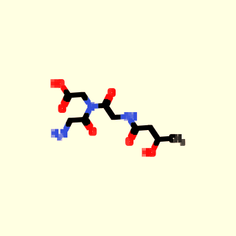 CC(O)CC(=O)NCC(=O)N(CC(=O)O)C(=O)CN